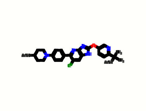 CC(=O)NC1CCN(c2ccc(-c3nc4nc(Oc5ccc(C(C)(C)NC(C)=O)nc5)[nH]c4cc3Cl)cc2)CC1